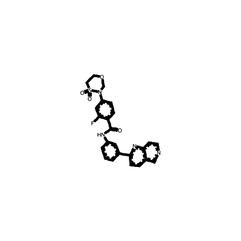 O=C(Nc1cccc(-c2ccc3cnccc3n2)c1)c1ccc(N2COCCS2(=O)=O)cc1F